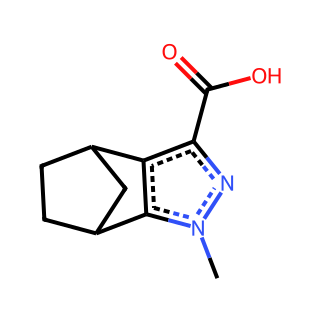 Cn1nc(C(=O)O)c2c1C1CCC2C1